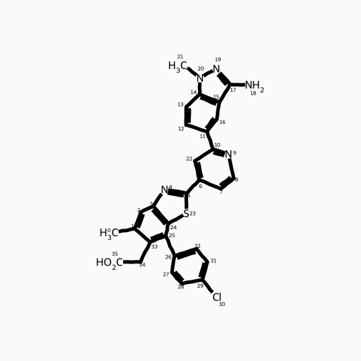 Cc1cc2nc(-c3ccnc(-c4ccc5c(c4)c(N)nn5C)c3)sc2c(-c2ccc(Cl)cc2)c1CC(=O)O